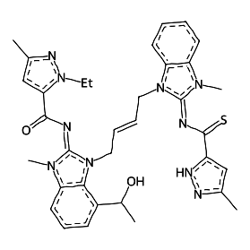 CCn1nc(C)cc1C(=O)/N=c1\n(C)c2cccc(C(C)O)c2n1C/C=C/Cn1/c(=N/C(=S)c2cc(C)n[nH]2)n(C)c2ccccc21